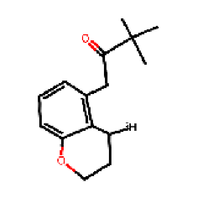 [2H]C1CCOc2cccc(CC(=O)C(C)(C)C)c21